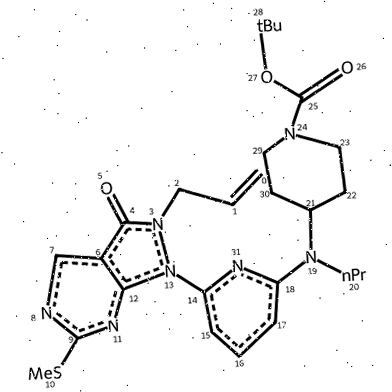 C=CCn1c(=O)c2cnc(SC)nc2n1-c1cccc(N(CCC)C2CCN(C(=O)OC(C)(C)C)CC2)n1